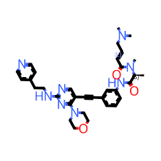 C[C@@H](C(=O)Nc1cccc(C#Cc2cnc(NCCc3ccncc3)nc2N2CCOCC2)c1)N(C)C(=O)/C=C/CN(C)C